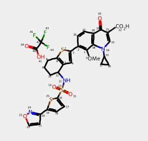 COc1c(-c2cc3c(s2)CCCC3NS(=O)(=O)c2ccc(-c3ccon3)s2)ccc2c(=O)c(C(=O)O)cn(C3CC3)c12.O=C(O)C(F)(F)F